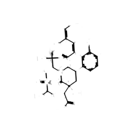 C=C(/C=C\C(Cl)=C/C)[C@@H]1[C@@H](c2cccc(Cl)c2)C[C@](C)(CC(=O)O)C(=O)N1[C@H](CS(=O)(=O)C(C)C)C(C)(C)C